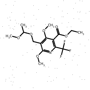 CCOC(=O)c1c(C(F)(F)F)nc(OC)c(COC(C)OC)c1OC